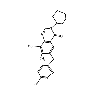 Cc1c(Cc2ccc(Cl)nc2)cc2c(=O)n(C3CCCCC3)cnc2c1C